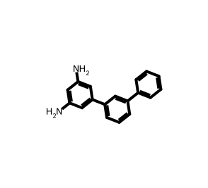 Nc1cc(N)cc(-c2cccc(-c3ccccc3)c2)c1